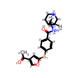 CC(=O)c1coc(Sc2ccc(C(=O)N[C@H]3CN4CCC3CC4)cc2)c1